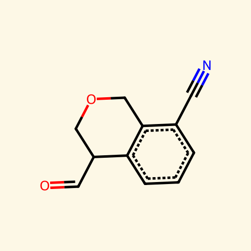 N#Cc1cccc2c1COCC2C=O